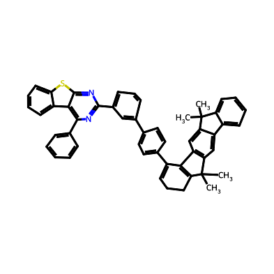 CC1(C)C2=C(C(c3ccc(-c4cccc(-c5nc(-c6ccccc6)c6c(n5)sc5ccccc56)c4)cc3)=CCC2)c2cc3c(cc21)-c1ccccc1C3(C)C